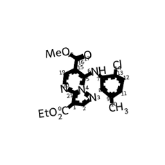 CCOC(=O)c1cnn2c(Nc3cc(C)ccc3Cl)c(C(=O)OC)cnc12